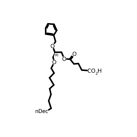 CCCCCCCCCCCCCCCCCCOC[C@H](COC(=O)CCCC(=O)O)OCc1ccccc1